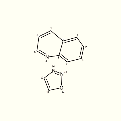 c1ccc2ncccc2c1.c1conn1